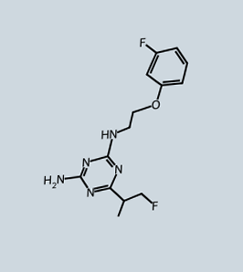 CC(CF)c1nc(N)nc(NCCOc2cccc(F)c2)n1